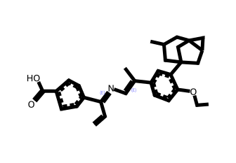 C=C/C(=N\C=C(/C)c1ccc(OCC)c(C23CC(C)CC4(CC4C2)C3)c1)c1ccc(C(=O)O)cc1